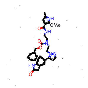 COc1[nH]c(C)cc1C(=O)NCCN(CCn1nccc1-c1ccc2c(c1)CC(=O)N2)C(=O)OCc1ccccc1